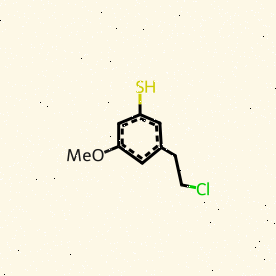 COc1cc(S)cc(CCCl)c1